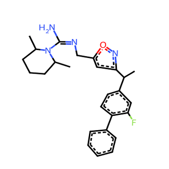 CC(c1ccc(-c2ccccc2)c(F)c1)c1cc(C/N=C(/N)N2C(C)CCCC2C)on1